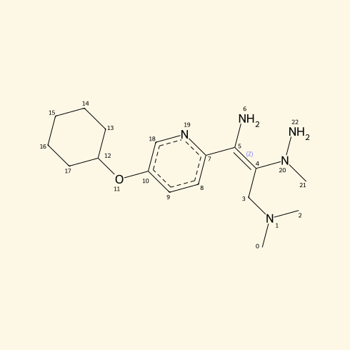 CN(C)C/C(=C(/N)c1ccc(OC2CCCCC2)cn1)N(C)N